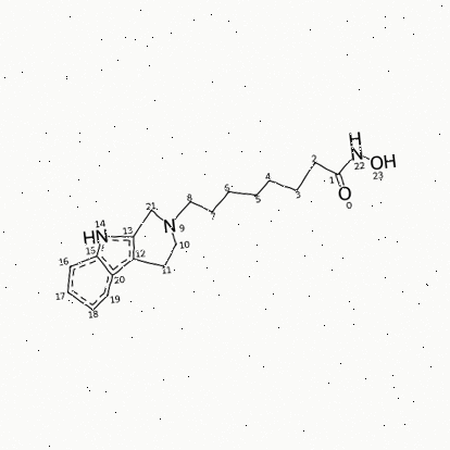 O=C(CCCCCCCN1CCc2c([nH]c3ccccc23)C1)NO